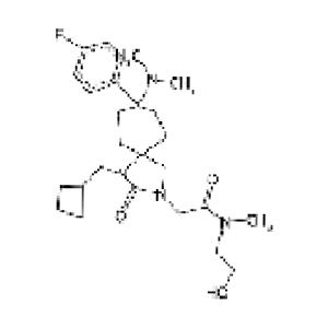 CN(CCO)C(=O)CN1CC2(CCC(c3ccc(F)cc3)(N(C)C)CC2)N(CC2CCC2)C1=O